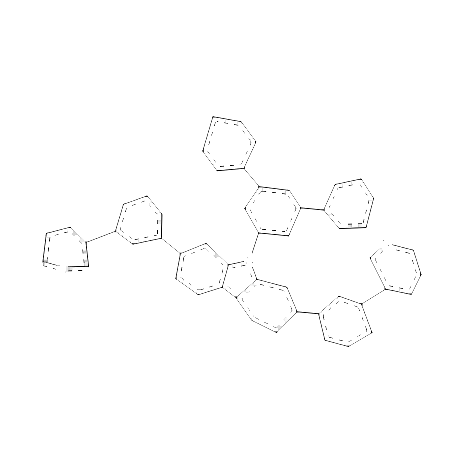 c1ccc(-c2cc(-c3ccccc3)cc(-n3c4cc(-c5cccc(-c6cccnc6)c5)ccc4c4ccc(-c5cccc(-c6cccnc6)c5)cc43)c2)cc1